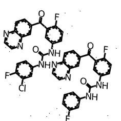 O=C(Nc1ccc(F)c(Cl)c1)Nc1ccc(F)c(C(=O)c2ccc3nccnc3c2)c1.O=C(Nc1cccc(F)c1)Nc1ccc(F)c(C(=O)c2ccc3nccnc3c2)c1